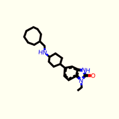 CCn1c(=O)[nH]c2cc(C3CCC(NCC4CCCCCCC4)CC3)ccc21